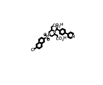 O=C(O)CC1CN(S(=O)(=O)c2ccc3cc(Cl)ccc3c2)CC(CC(=O)O)N1C(=O)c1ccc(-c2ccncc2)cc1